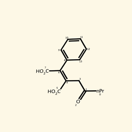 CCCC(=O)CC(C(=O)O)=C(C(=O)O)c1ccccc1